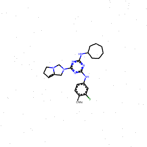 COc1ccc(Nc2nc(NC3CCCCCC3)nc(N3CC4=CCCN4C3)n2)cc1F